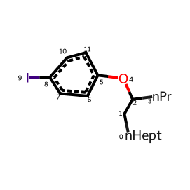 CCCCCCCCC(CCC)Oc1ccc(I)cc1